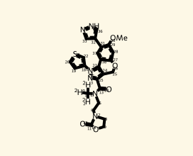 [2H]C([2H])([2H])N(CCN1CCOC1=O)C(=O)c1nn(-c2ccsc2)c2c1COc1cc(OC)c(-c3cn[nH]c3)cc1-2